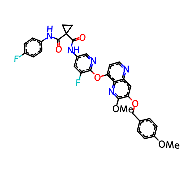 COc1ccc(COc2cc3nccc(Oc4ncc(NC(=O)C5(C(=O)Nc6ccc(F)cc6)CC5)cc4F)c3nc2OC)cc1